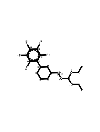 CCOC(OCC)O[SiH2]C1CCCC(c2c(F)c(F)c(F)c(F)c2F)C1